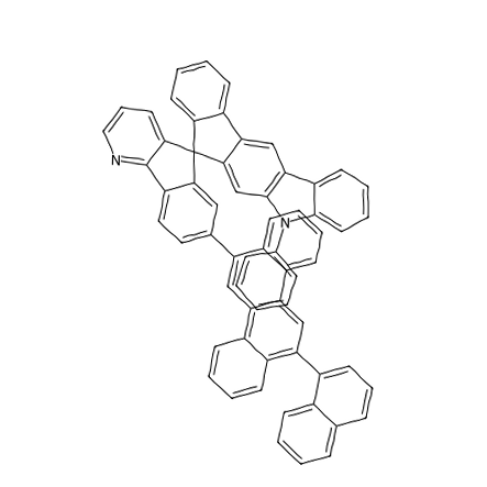 c1ccc(-n2c3ccccc3c3cc4c(cc32)C2(c3ccccc3-4)c3cc(-c4cc5c6ccccc6c(-c6cccc7ccccc67)cc5c5ccccc45)ccc3-c3ncccc32)cc1